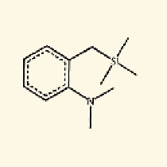 CN(C)c1ccccc1C[Si](C)(C)C